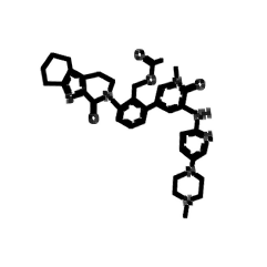 CC(=O)OCc1c(-c2cc(Nc3ccc(N4CCN(C)CC4)cn3)c(=O)n(C)c2)cccc1N1CCc2c(sc3c2CCCC3)C1=O